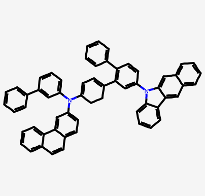 C1=C(c2cc(-n3c4ccccc4c4cc5ccccc5cc43)ccc2-c2ccccc2)CCC(N(c2cccc(-c3ccccc3)c2)c2ccc3ccc4ccccc4c3c2)=C1